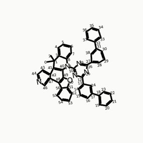 CC1(C)c2ccccc2N(c2nc(-c3cccc(-c4ccccc4)c3)nc(-c3cccc(-c4ccccc4)c3)n2)c2c1c1ccncc1c1c2oc2ccccc21